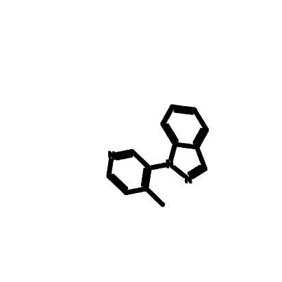 Cc1ccncc1-n1ncc2ccccc21